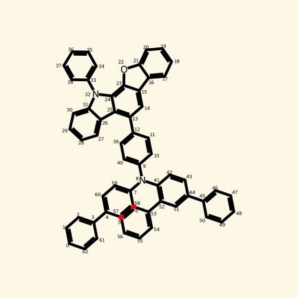 c1ccc(-c2ccc(N(c3ccc(-c4cc5c6ccccc6oc5c5c4c4ccccc4n5-c4ccccc4)cc3)c3ccc(-c4ccccc4)cc3-c3ccccc3)cc2)cc1